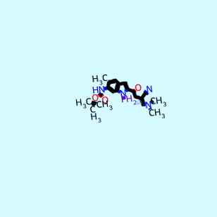 Cc1cc2cc(C(=O)C/C(C#N)=C/N(C)C)n(P)c2cc1NC(=O)OC(C)(C)C